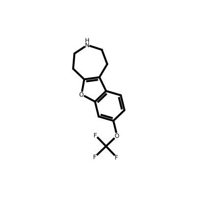 FC(F)(F)Oc1ccc2c3c(oc2c1)CCNCC3